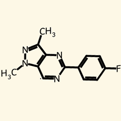 Cc1nn(C)c2[c]nc(-c3ccc(F)cc3)nc12